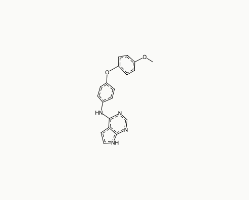 COc1ccc(Oc2ccc(Nc3ncnc4[nH]ccc34)cc2)cc1